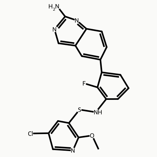 COc1ncc(Cl)cc1SNc1cccc(-c2ccc3nc(N)ncc3c2)c1F